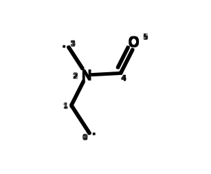 [CH2]CN([CH2])C=O